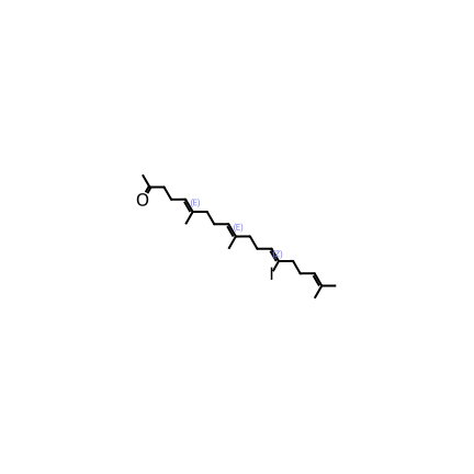 CC(=O)CC/C=C(\C)CC/C=C(\C)CC/C=C(\I)CCC=C(C)C